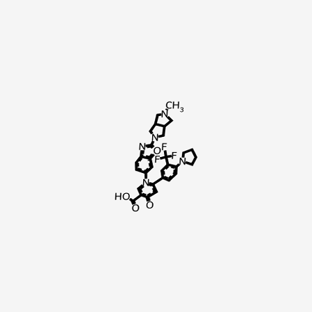 CN1CC2CN(c3nc4ccc(-n5cc(C(=O)O)c(=O)cc5-c5ccc(N6CCCC6)c(C(F)(F)F)c5)cc4o3)CC2C1